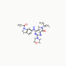 CC(=O)N1CCc2ccc(Nc3nc(N4CCOCC4)nc4c3CN(C(C)C)C4=O)cc21